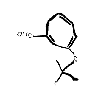 CC(C)(F)OC1=CC=CCC(C=O)=C1